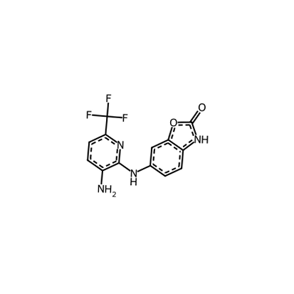 Nc1ccc(C(F)(F)F)nc1Nc1ccc2[nH]c(=O)oc2c1